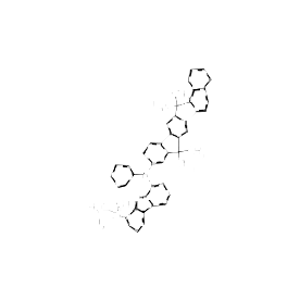 CC1(C)c2cc(N(c3ccccc3)c3cccc4c3oc3c([Si](C)(C)C)cccc34)ccc2-c2cc3c(cc21)-c1ccc2ccccc2c1C3(C)C